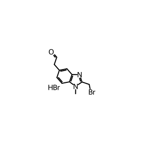 Br.Cn1c(CBr)nc2cc(CC=O)ccc21